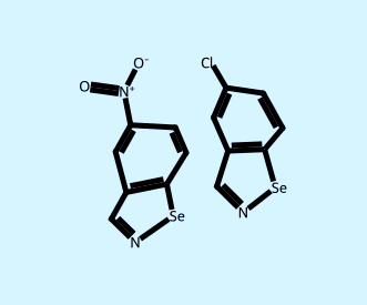 Clc1ccc2[se]ncc2c1.O=[N+]([O-])c1ccc2[se]ncc2c1